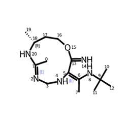 C/C1=N\CN/C(=C(\C)NC(C)(C)C)C(=N)OCC[C@@H](C)N1